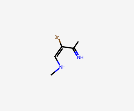 CN/C=C(/Br)C(C)=N